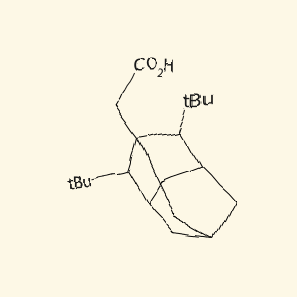 CC(C)(C)C1C2CC3CC(C2)C(C(C)(C)C)C1(CC(=O)O)C3